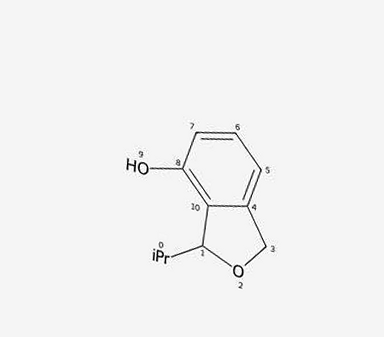 CC(C)C1OCc2cccc(O)c21